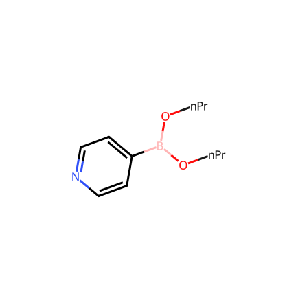 CCCOB(OCCC)c1ccncc1